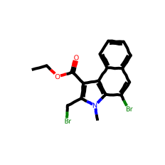 CCOC(=O)c1c(CBr)n(C)c2c(Br)cc3ccccc3c12